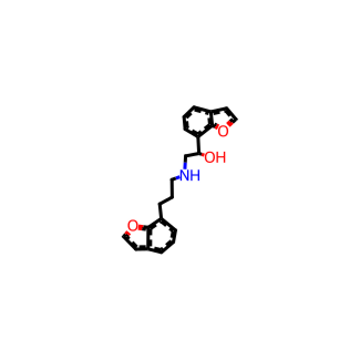 OC(CNCCCc1cccc2ccoc12)c1cccc2ccoc12